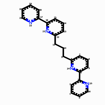 c1ccc(-c2cccc(CCCc3cccc(-c4ccccn4)n3)n2)nc1